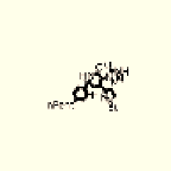 CCCCCc1ccc([C@]2(C)CC(c3ccn(CC)n3)=C(n3nn[nH]c3=O)C(=O)N2)c(F)c1